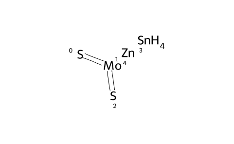 [S]=[Mo]=[S].[SnH4].[Zn]